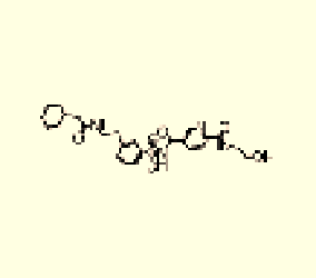 O=C(CC1CCCCC1)NCCc1cccc(S(=O)(=O)NC(=O)c2ccc(C(=O)NCCO)nc2)c1